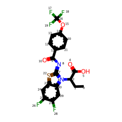 CCC(C(=O)O)n1c(=NC(=O)c2ccc(OC(F)(F)F)cc2)sc2cc(F)c(F)cc21